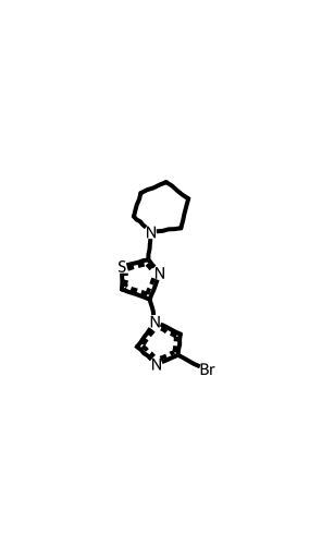 Brc1cn(-c2csc(N3CCCCC3)n2)cn1